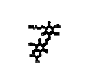 CCCCN1C(=O)/C(=C\C=Cc2c(O)n(CCCC)c(=O)n(CCC(=O)O)c2=O)C(=O)N(OC(O)CC)C1=O